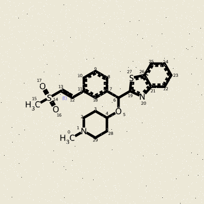 CN1CCC(OC(c2cccc(/C=C/S(C)(=O)=O)c2)c2nc3ccccc3s2)CC1